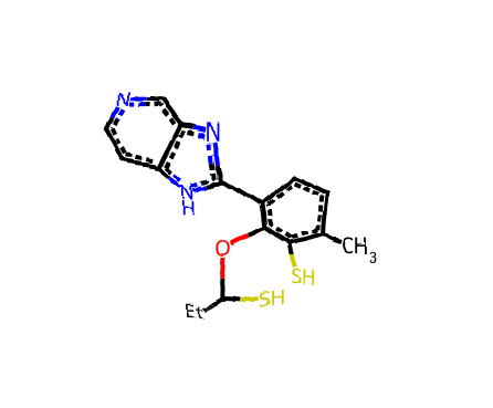 CCC(S)Oc1c(-c2nc3cnccc3[nH]2)ccc(C)c1S